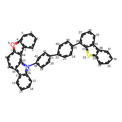 c1ccc2c(c1)oc1ccc3c4ccccc4n(-c4ccc(-c5ccc(-c6cccc7c6sc6ccccc67)cc5)cc4)c3c12